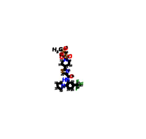 CS(=O)(=O)CS(=O)(=O)N1CCC(c2nc(C(=O)Nc3cc(C(F)(F)F)ccc3N3CCCC3)cs2)CC1